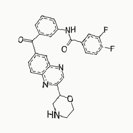 O=C(Nc1cccc(C(=O)c2ccc3nc(C4CNCCO4)cnc3c2)c1)c1ccc(F)c(F)c1